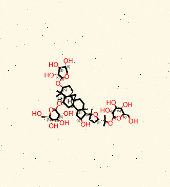 CC(C)(O[C@@H]1O[C@H](CO)[C@@H](O)[C@H](O)[C@H]1O)[C@@H]1CC[C@](C)([C@H]2[C@@H](O)C[C@@]3(C)[C@@H]4C[C@H](O[C@@H]5O[C@H](CO)[C@@H](O)[C@H](O)[C@H]5O)[C@H]5C(C)(C)[C@@H](O[C@@H]6OC[C@@H](O)[C@H](O)[C@H]6O)CC[C@@]56C[C@@]46CC[C@]23C)O1